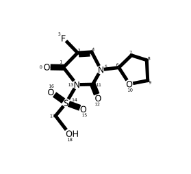 O=c1c(F)cn(C2CCCO2)c(=O)n1S(=O)(=O)CO